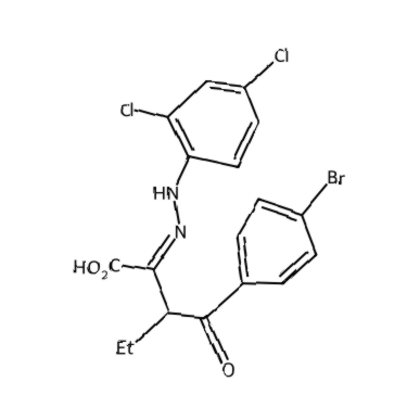 CCC(C(=O)c1ccc(Br)cc1)C(=NNc1ccc(Cl)cc1Cl)C(=O)O